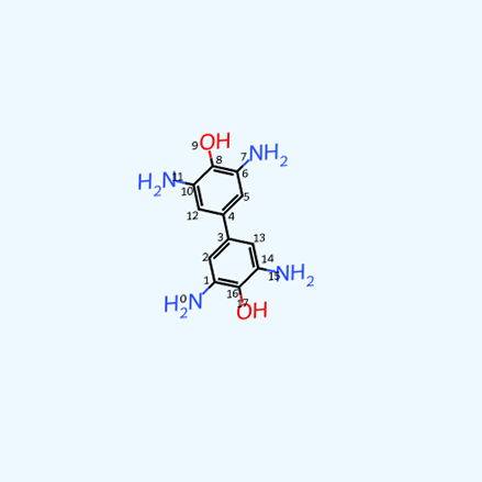 Nc1cc(-c2cc(N)c(O)c(N)c2)cc(N)c1O